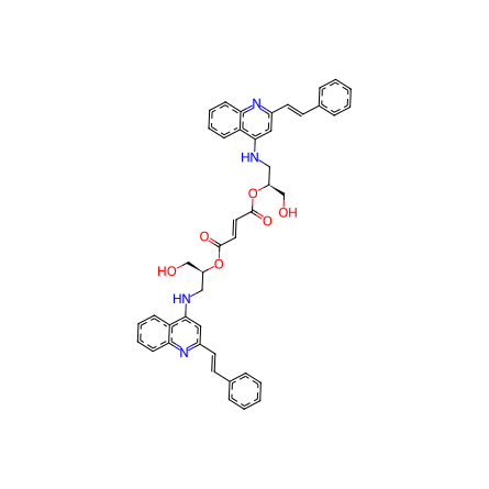 O=C(/C=C/C(=O)O[C@H](CO)CNc1cc(/C=C/c2ccccc2)nc2ccccc12)O[C@H](CO)CNc1cc(/C=C/c2ccccc2)nc2ccccc12